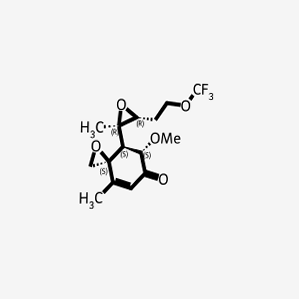 CO[C@@H]1C(=O)C=C(C)[C@]2(CO2)[C@H]1[C@@]1(C)O[C@@H]1CCOC(F)(F)F